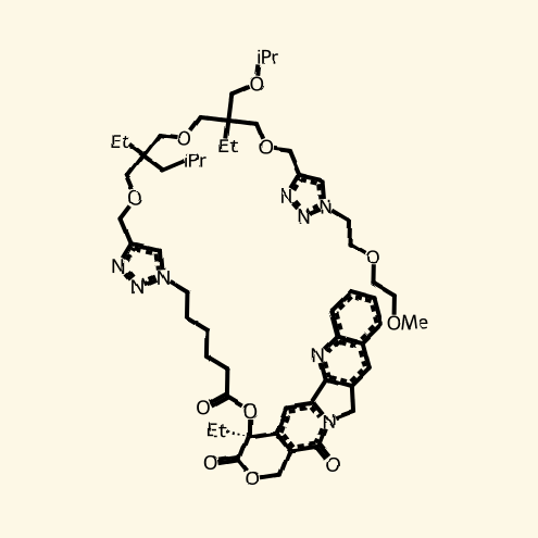 CCC(COCc1cn(CCOCCOC)nn1)(COCC(CC)(COCc1cn(CCCCCC(=O)O[C@]2(CC)C(=O)OCc3c2cc2n(c3=O)Cc3cc4ccccc4nc3-2)nn1)CC(C)C)COC(C)C